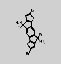 CCC1(N)c2cc3c(cc2-c2sc(Br)cc21)C(N)(CC)c1cc(Br)sc1-3